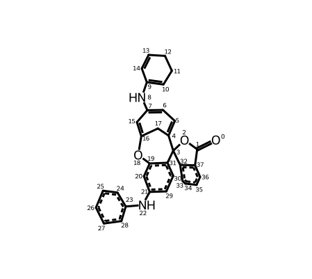 O=C1OC2(C3=CC=C(NC4=CCCC=C4)C=C(C3)Oc3cc(Nc4ccccc4)ccc32)c2ccccc21